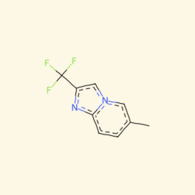 Cc1ccc2nc(C(F)(F)F)cn2c1